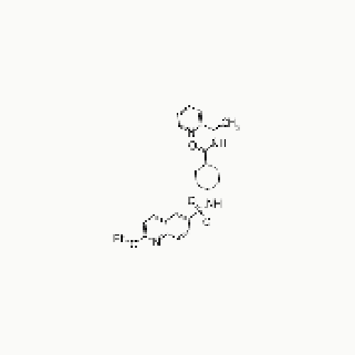 CCOc1ccc2cc(S(=O)(=O)N[C@H]3CC[C@H](C(=O)N[C@H](C)c4ccccn4)CC3)ccc2n1